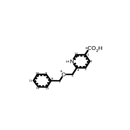 O=C(O)c1ccc(COCc2ccccc2)nc1